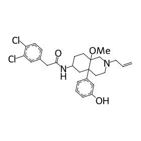 C=CCN1CCC2(c3cccc(O)c3)CC(NC(=O)Cc3ccc(Cl)c(Cl)c3)CCC2(OC)C1